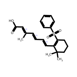 CC(/C=C/C=C/C1=C(S(=O)(=O)c2ccccc2)CCCC1(C)C)=C\C(=O)O